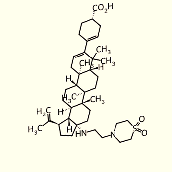 C=C(C)[C@@H]1CC[C@]2(NCCN3CCS(=O)(=O)CC3)CC[C@]3(C)[C@H](CC[C@@H]4[C@@]5(C)CC=C(C6=CC[C@@H](C(=O)O)CC6)C(C)(C)[C@@H]5CC[C@]43C)[C@@H]12